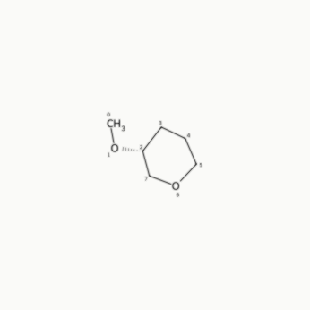 CO[C@@H]1CCCOC1